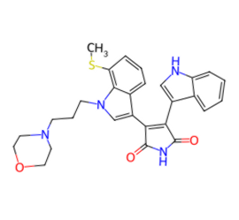 CSc1cccc2c(C3=C(c4c[nH]c5ccccc45)C(=O)NC3=O)cn(CCCN3CCOCC3)c12